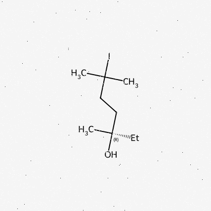 CC[C@@](C)(O)CCC(C)(C)I